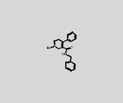 CCN1CCC(c2ccccc2)=C(C(=O)NCc2ccccc2)C1